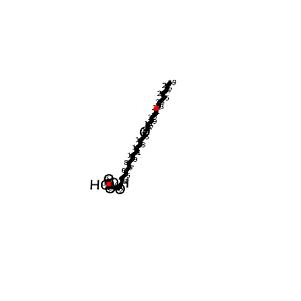 C1CO1.CCCCCCCCCCCCCOCCCCCCCCCCCCC.O=S(=O)(O)O